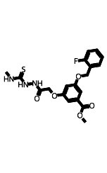 CNC(=S)NNC(=O)COc1cc(OCc2ccccc2F)cc(C(=O)OC)c1